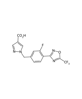 O=C(O)c1cnn(Cc2ccc(-c3noc(C(F)(F)F)n3)c(F)c2)c1